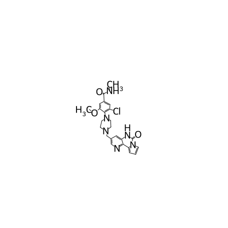 CNC(=O)c1cc(Cl)c(N2CCN(Cc3cnc4c(c3)[nH]c(=O)n3cccc43)CC2)c(OC)c1